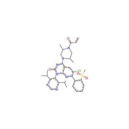 C=CC(=O)N1CC(C)N(c2nc(=O)n(-c3c(C(C)C)ncnc3C(C)C)c3nc(-c4ccccc4S(C)(=O)=O)c(Cl)cc23)CC1C